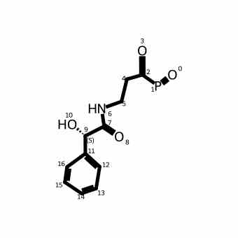 O=PC(=O)CCNC(=O)[C@@H](O)c1ccccc1